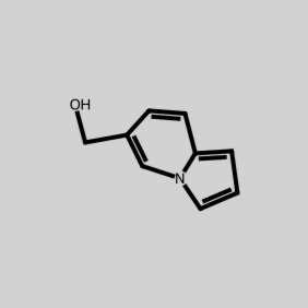 OCc1ccc2cccn2c1